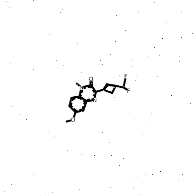 COc1ccc2c(c1)nc(C13CC(C(F)F)(C1)C3)c(=O)n2C